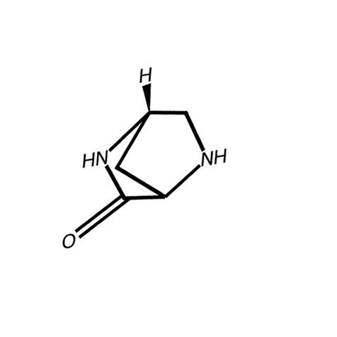 O=C1N[C@@H]2CNC1C2